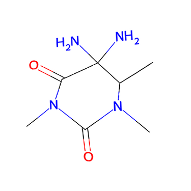 CC1N(C)C(=O)N(C)C(=O)C1(N)N